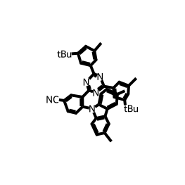 Cc1cc(-c2nc(-c3cc(C)cc(C(C)(C)C)c3)nc(-c3cc(C#N)ccc3-n3c4ccc(C)cc4c4cc(C)ccc43)n2)cc(C(C)(C)C)c1